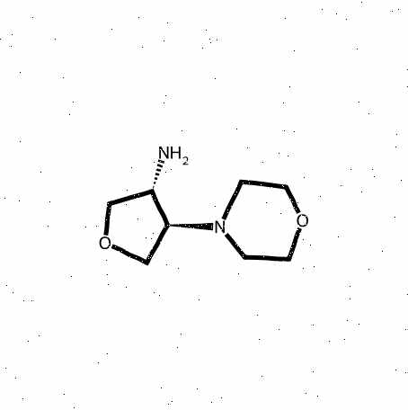 N[C@H]1COC[C@@H]1N1CCOCC1